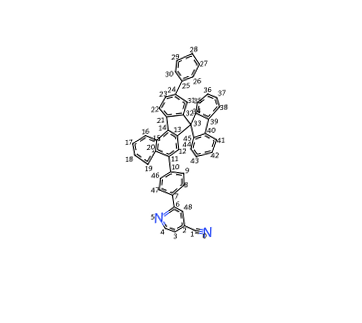 N#Cc1ccnc(-c2ccc(-c3cc4c(c5ccccc35)-c3ccc(-c5ccccc5)cc3C43c4ccccc4-c4ccccc43)cc2)c1